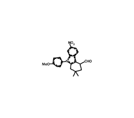 COc1ccc(-n2c3c(c4ccc([N+](=O)[O-])cc42)C(C=O)CC(C)(C)C3)cc1